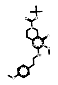 COc1ccc(CCNc2nc3c(c(=O)n2OC)CN(C(=O)OC(C)(C)C)CC3)cc1